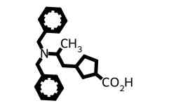 CC(CC1CCC(C(=O)O)C1)N(Cc1ccccc1)Cc1ccccc1